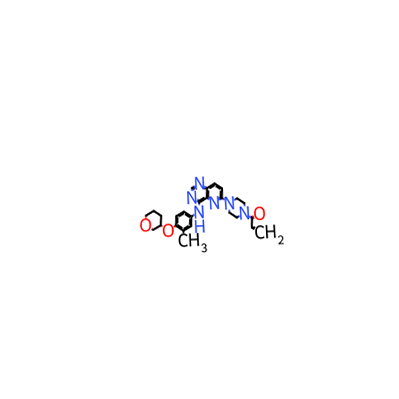 C=CC(=O)N1CCN(c2ccc3ncnc(Nc4ccc(OC5CCCOC5)c(C)c4)c3n2)CC1